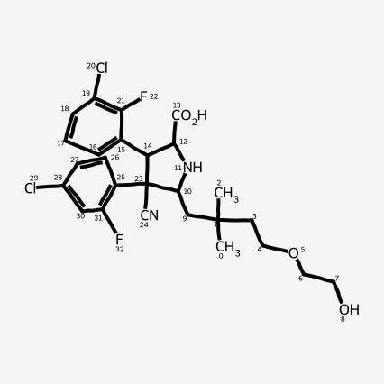 CC(C)(CCOCCO)CC1NC(C(=O)O)C(c2cccc(Cl)c2F)C1(C#N)c1ccc(Cl)cc1F